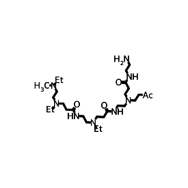 CCN(C)CCN(CC)CCC(=O)NCCN(CC)CCC(=O)NCCN(CCC(C)=O)CCC(=O)NCCN